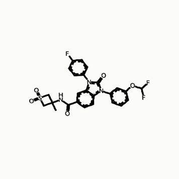 CC1(NC(=O)c2ccc3c(c2)n(-c2ccc(F)cc2)c(=O)n3-c2cccc(OC(F)F)c2)CS(=O)(=O)C1